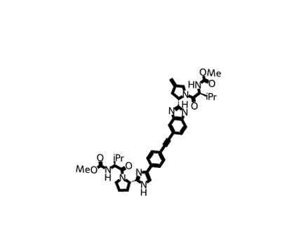 C=C1C[C@@H](c2nc3cc(C#Cc4ccc(-c5c[nH]c([C@@H]6CCCN6C(=O)[C@@H](NC(=O)OC)C(C)C)n5)cc4)ccc3[nH]2)N(C(=O)[C@@H](NC(=O)OC)C(C)C)C1